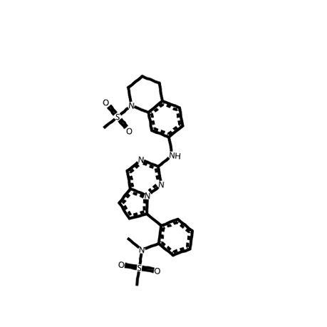 CN(c1ccccc1-c1ccc2cnc(Nc3ccc4c(c3)N(S(C)(=O)=O)CCC4)nn12)S(C)(=O)=O